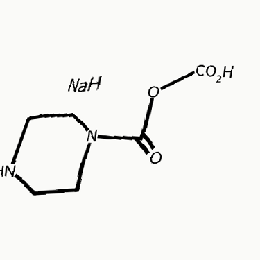 O=C(O)OC(=O)N1CCNCC1.[NaH]